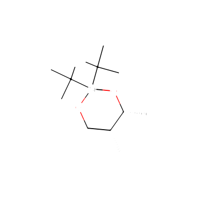 C[C@@H]1CO[Si](C(C)(C)C)(C(C)(C)C)O[C@@H]1C